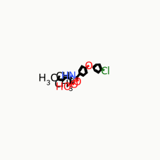 CC(C)(C)/C=C/C(NC(=O)c1ccc(Oc2ccc(Cl)cc2)cc1)C(=O)O